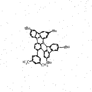 Cc1cc(C)cc(-c2ccc3c4c2-c2cc(C(C)(C)C)cc5c2C(B4c2cc(C(C)(C)C)cc4c6cc(C(C)(C)C)ccc6n-3c24)c2ccc(C(C)(C)C)cc2-5)c1